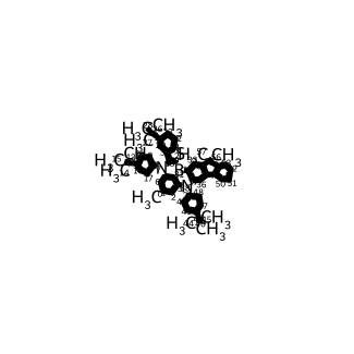 Cc1cc2c3c(c1)N(c1ccc(C(C)(C)C)cc1)c1c(sc4ccc(C(C)(C)C)cc14)B3c1cc3c(cc1N2c1ccc(C(C)(C)C)cc1)-c1ccccc1C3(C)C